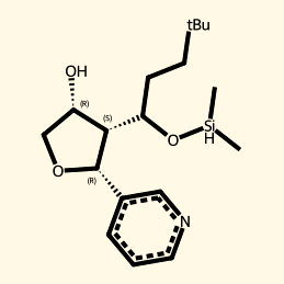 C[SiH](C)OC(CCC(C)(C)C)[C@H]1[C@@H](O)CO[C@H]1c1cccnc1